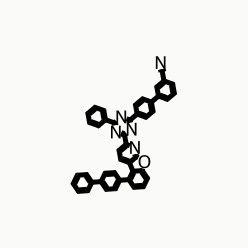 N#Cc1cccc(-c2ccc(-c3nc(-c4ccccc4)nc(-c4ccc5c(n4)oc4cccc(-c6ccc(-c7ccccc7)cc6)c45)n3)cc2)c1